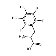 NC(Cc1c(F)c(O)c(O)c(F)c1F)C(=O)O